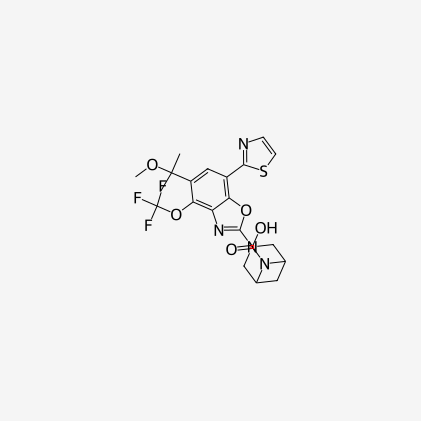 COC(C)(C)c1cc(-c2nccs2)c2oc(N3CC4CC(C3)N4C(=O)O)nc2c1OC(F)(F)F